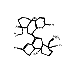 CC(C)C1=CC2=C(C3CC4C(C)(CN)CCCC4(C)C4=C3CC(C(C)C)CC4)CC3C(C)(CN)CCCC3(C)C2CC1